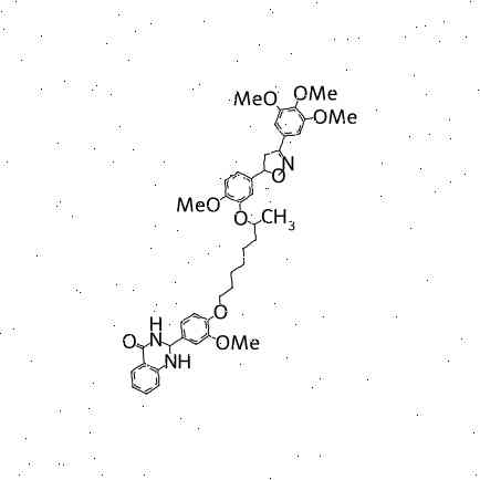 COc1cc(C2NC(=O)c3ccccc3N2)ccc1OCCCCCCC(C)Oc1cc(C2CC(c3cc(OC)c(OC)c(OC)c3)=NO2)ccc1OC